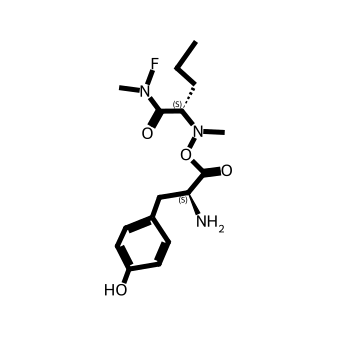 CCC[C@@H](C(=O)N(C)F)N(C)OC(=O)[C@@H](N)Cc1ccc(O)cc1